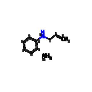 C=CCNc1ccccc1.[AlH3]